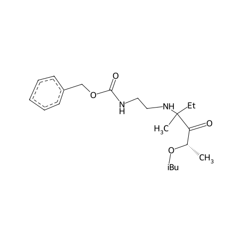 CCC(C)O[C@@H](C)C(=O)C(C)(CC)NCCNC(=O)OCc1ccccc1